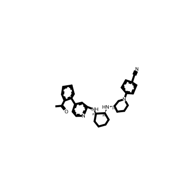 CC(=O)c1ccccc1-c1ccnc(N[C@@H]2CCCC[C@H]2N[C@H]2CCCN(c3ccc(C#N)cc3)C2)c1